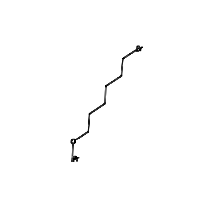 CC(C)OCCCCCCBr